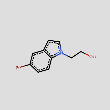 OCCn1ccc2cc(Br)ccc21